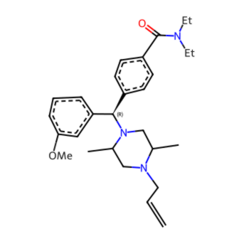 C=CCN1CC(C)N([C@H](c2ccc(C(=O)N(CC)CC)cc2)c2cccc(OC)c2)CC1C